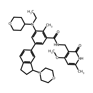 CCN(c1cc(-c2ccc3c(c2)C(N2CCOCC2)CC3)cc(C(=O)NCc2c(OC)cc(C)[nH]c2=O)c1C)C1CCOCC1